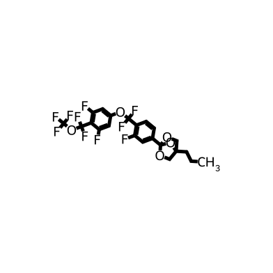 CCCC12COC(c3ccc(C(F)(F)Oc4cc(F)c(C(F)(F)OC(F)(F)F)c(F)c4)c(F)c3)(OC1)O2